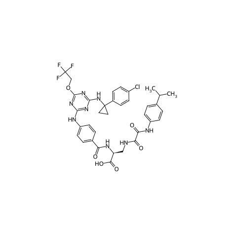 CC(C)c1ccc(NC(=O)C(=O)NC[C@H](NC(=O)c2ccc(Nc3nc(NC4(c5ccc(Cl)cc5)CC4)nc(OCC(F)(F)F)n3)cc2)C(=O)O)cc1